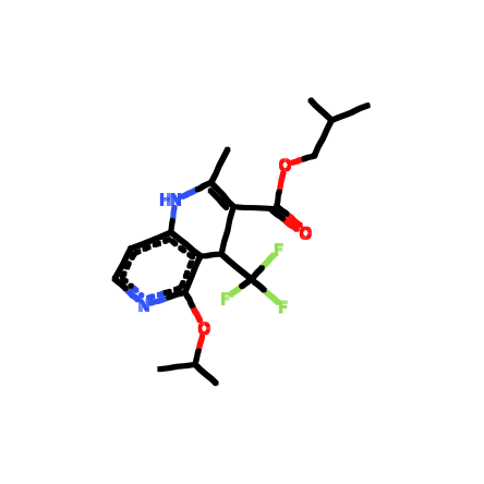 CC1=C(C(=O)OCC(C)C)C(C(F)(F)F)c2c(ccnc2OC(C)C)N1